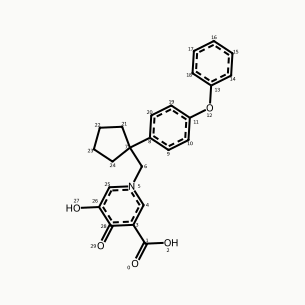 O=C(O)c1cn(CC2(c3ccc(Oc4ccccc4)cc3)CCCC2)cc(O)c1=O